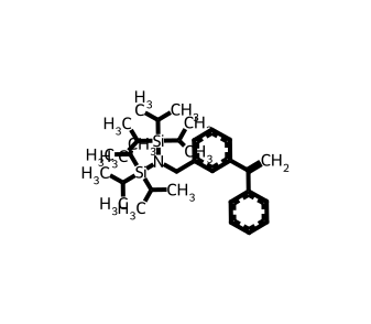 C=C(c1ccccc1)c1cccc(CN([Si](C(C)C)(C(C)C)C(C)C)[Si](C(C)C)(C(C)C)C(C)C)c1